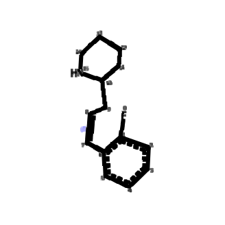 Fc1ccccc1/C=C\CC1CCCCN1